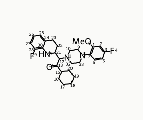 COc1cc(F)ccc1N1CCN(C(C(=O)C2CCCCC2)C2CCc3cccc(F)c3N2)CC1